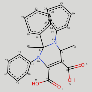 CC1C(C(=O)O)=C(C(=O)O)N(c2ccccc2)C(C)(c2ccccc2)N1c1ccccc1